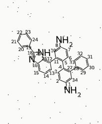 Nc1ccc(-c2ccc(N)cc2-c2cccc3nc(-c4ccccc4)[nH]c23)c(-c2ccccc2)c1